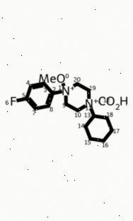 CO[N+]1(c2ccc(F)cc2)CC[N+](C(=O)O)(C2CCCCC2)CC1